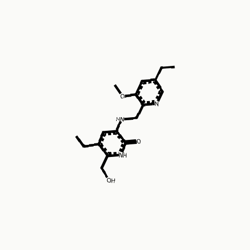 CCc1cnc(CNc2cc(CC)c(CO)[nH]c2=O)c(OC)c1